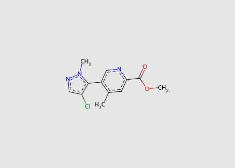 COC(=O)c1cc(C)c(-c2c(Cl)cnn2C)cn1